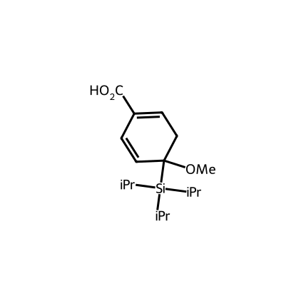 COC1([Si](C(C)C)(C(C)C)C(C)C)C=CC(C(=O)O)=CC1